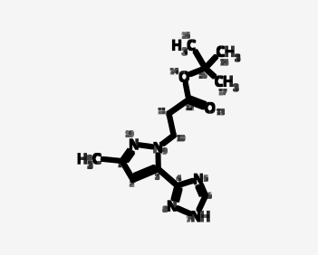 Cc1cc(-c2nc[nH]n2)n(CCC(=O)OC(C)(C)C)n1